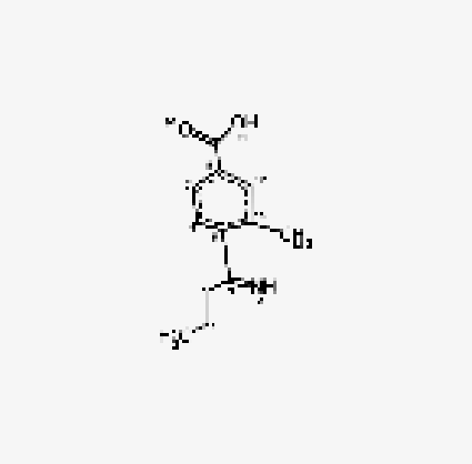 CCCC(=N)c1ccc(C(=O)O)cc1C